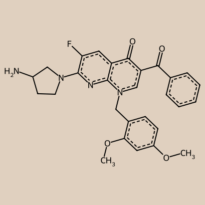 COc1ccc(Cn2cc(C(=O)c3ccccc3)c(=O)c3cc(F)c(N4CCC(N)C4)nc32)c(OC)c1